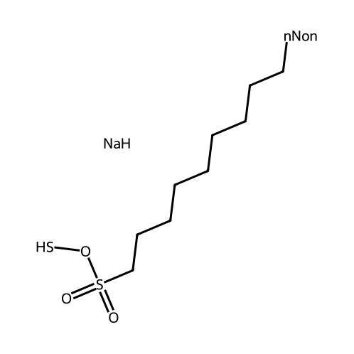 CCCCCCCCCCCCCCCCCCS(=O)(=O)OS.[NaH]